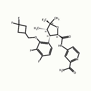 C[C@H]1[C@@H](c2ccc(F)c(F)c2OCC2CC(F)(F)C2)[C@H](C(=O)Nc2ccnc(C(N)=O)c2)O[C@]1(C)C(F)(F)F